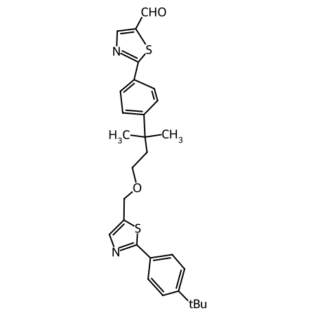 CC(C)(C)c1ccc(-c2ncc(COCCC(C)(C)c3ccc(-c4ncc(C=O)s4)cc3)s2)cc1